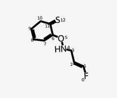 FC=CCNOC1=CC=CCC1=S